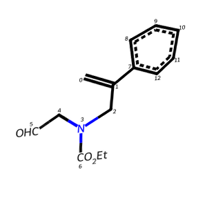 C=C(CN(CC=O)C(=O)OCC)c1ccccc1